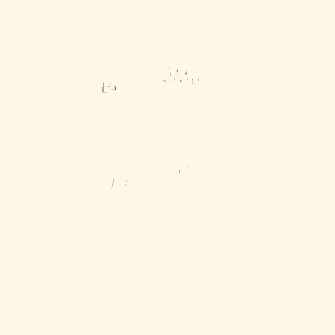 COc1cc(OCc2ccccc2)c(O)cc1Br